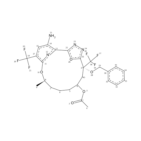 CC(=O)OC1CCC[C@@H](C)Oc2nc(c(N)cc2C(F)(F)F)-c2nnc(o2)[C@@](OCc2ccccc2)(C(F)(F)F)C1